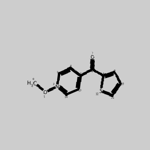 CO[n+]1ccc(C(=O)c2cccs2)cc1